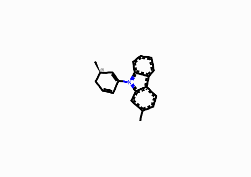 Cc1ccc2c3ccccc3n(C3=C[C@H](C)CC=C3)c2c1